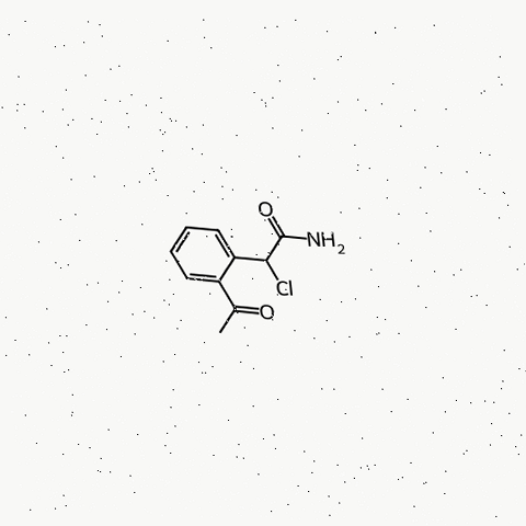 CC(=O)c1ccccc1C(Cl)C(N)=O